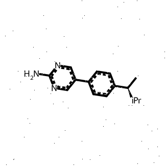 CC(C)[C@H](C)c1ccc(-c2cnc(N)nc2)cc1